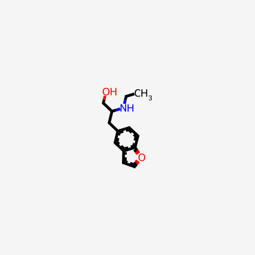 CCNC(CO)Cc1ccc2occc2c1